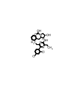 CCc1nc(-c2ccc(Cl)cc2Cl)c(CC)nc1N[C@@H]1C(Cc2ccccc2)N(C(=O)O)C[C@@H]1O